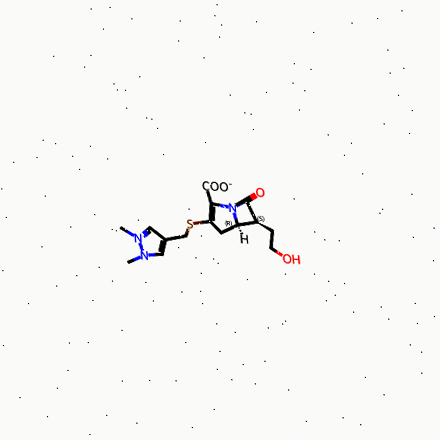 Cn1cc(CSC2=C(C(=O)[O-])N3C(=O)[C@@H](CCO)[C@H]3C2)c[n+]1C